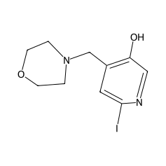 Oc1cnc(I)cc1CN1CCOCC1